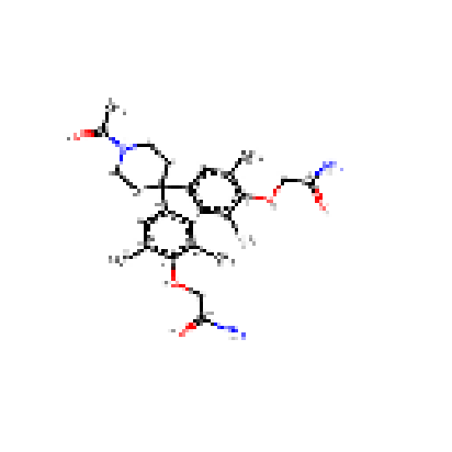 CC(=O)N1CCC(c2cc(C)c(OCC(N)=O)c(C)c2)(c2cc(C)c(OCC(N)=O)c(C)c2)CC1